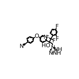 N#Cc1ccc(Oc2ccc(C(O)(CN3C=NNN3)C(F)(F)c3ccc(F)cc3F)nc2)cc1